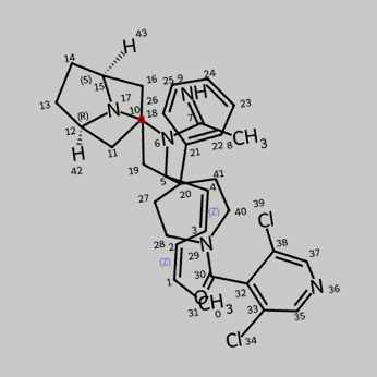 C/C=C\C=C/CN(C(C)=N)C1C[C@H]2CC[C@@H](C1)N2CCC1(c2ccccc2)CCN(C(=O)c2c(Cl)cncc2Cl)CC1